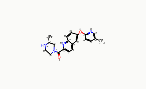 CC(C)[C@H]1CN(C(=O)c2ccc3cc(Oc4ccc(C(F)(F)F)cn4)ccc3n2)CCN1